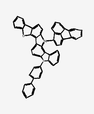 c1ccc(-c2ccc(-n3c4ccccc4c4c3ccc3c5c6oc7ccccc7c6ccc5n(-c5ccc6c7c(cccc57)-c5ccccc5-6)c34)cc2)cc1